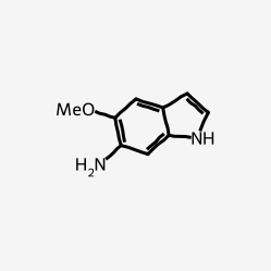 COc1cc2cc[nH]c2cc1N